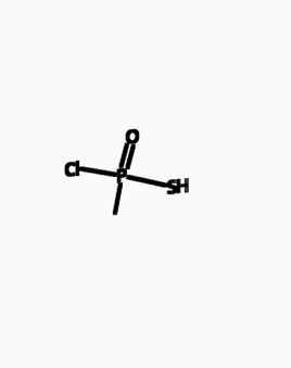 CP(=O)(S)Cl